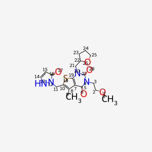 COCCn1c(=O)c2c(C)c(Cn3[nH]ccc3=O)sc2n(CC2CCCO2)c1=O